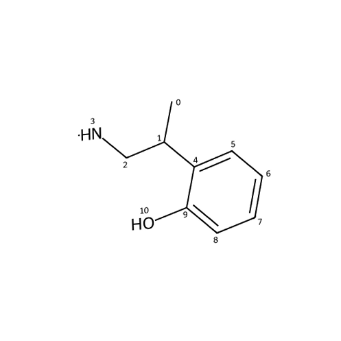 CC(C[NH])c1ccccc1O